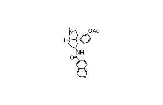 CC(=O)Oc1cccc([C@@]23CCN(C)C[C@H]2CC[C@H](NC(=O)c2ccc4ccccc4c2)C3)c1